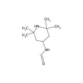 CC1(C)CC(N[C]=O)CC(C)(C)N1